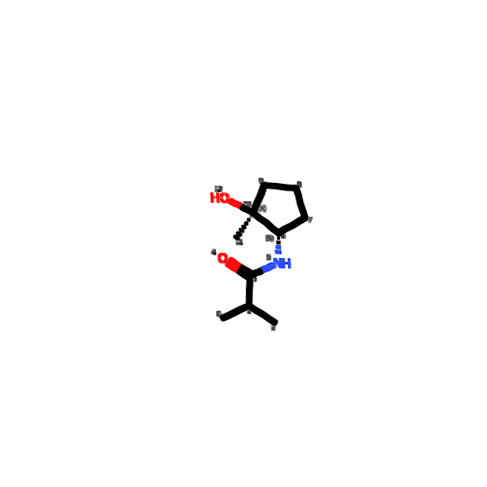 CC(C)C(=O)N[C@H]1CCC[C@]1(C)O